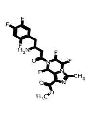 COC(=O)c1nc(C)n2c1C(F)N(C(=O)CC(N)Cc1cc(F)c(F)cc1F)C(F)C2F